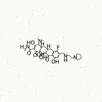 CN(C)[C@@H]1C(O)=C(C(N)=O)C(=O)[C@@]2(O)C(O)=C3C(=O)c4c(O)cc(CNCCN5CCCC5)c(F)c4C[C@H]3C[C@@H]12